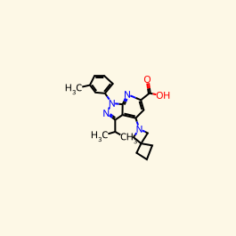 Cc1cccc(-n2nc(C(C)C)c3c(N4CC5(CCC5)C4)cc(C(=O)O)nc32)c1